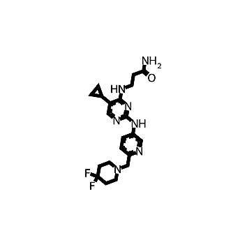 NC(=O)CCNc1nc(Nc2ccc(CN3CCC(F)(F)CC3)nc2)ncc1C1CC1